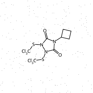 O=c1n(C2CCC2)c(=O)n(SC(Cl)(Cl)Cl)n1SC(Cl)(Cl)Cl